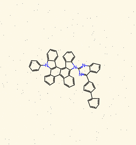 c1ccc(-c2ccc(-c3nc(-n4c5ccccc5c5c6c(c7ccccc7c7c6c6ccccc6n7-c6ccccc6)c6ccccc6c54)nc4ccccc34)cc2)cc1